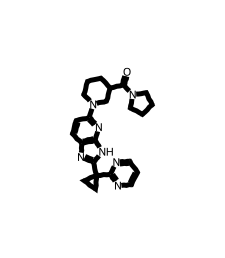 O=C(C1CCCN(c2ccc3nc(C4(c5ncccn5)CC4)[nH]c3n2)C1)N1CCCC1